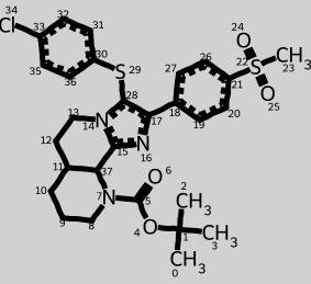 CC(C)(C)OC(=O)N1CCCC2CCn3c(nc(-c4ccc(S(C)(=O)=O)cc4)c3Sc3ccc(Cl)cc3)C21